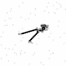 C#CC#CC#CC#CC#CC#CC#CC#CC(=O)OC[C@H](COP(=O)(O)OC1C(O)[C@H](OP(=O)(O)O)[C@H](OP(=O)(O)O)C(O)[C@@H]1O)OC(=O)CCCCCCCCCCCCCCC